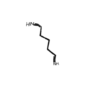 N=CCCCC=N